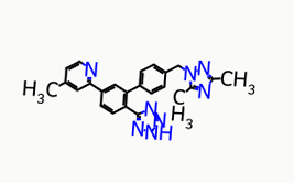 Cc1ccnc(-c2ccc(-c3nn[nH]n3)c(-c3ccc(Cn4nc(C)nc4C)cc3)c2)c1